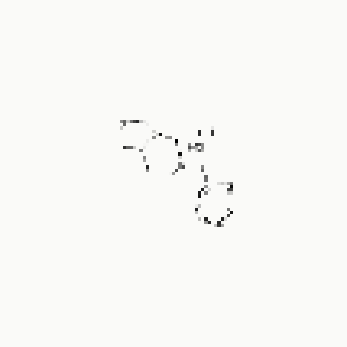 Cl.Cl.c1ccc(CN2CCC3CNCC3C2)cc1